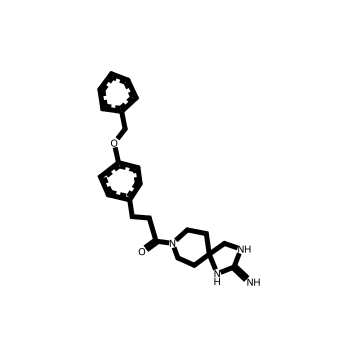 N=C1NCC2(CCN(C(=O)CCc3ccc(OCc4ccccc4)cc3)CC2)N1